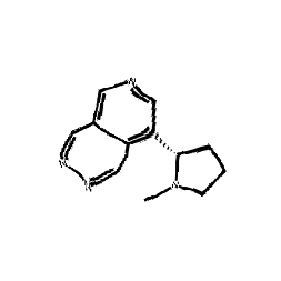 CN1CCC[C@H]1c1cncc2cnncc12